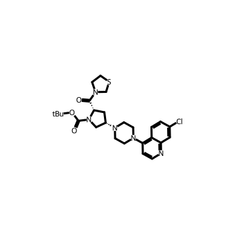 CC(C)(C)OC(=O)N1C[C@@H](N2CCN(c3ccnc4cc(Cl)ccc34)CC2)C[C@H]1C(=O)N1CCSC1